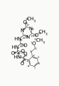 COCCc1ccccc1S(=O)(=O)NS(=O)(=O)NC(=O)Nc1nc(OC)nc(OC)n1